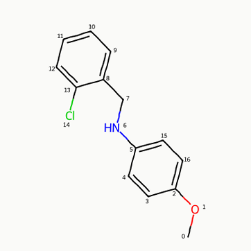 COc1ccc(NCc2ccccc2Cl)cc1